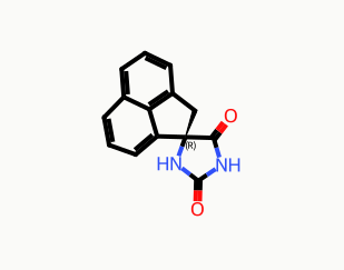 O=C1NC(=O)[C@]2(Cc3cccc4cccc2c34)N1